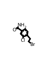 NC(=O)c1ccc(CCBr)c(Cl)c1